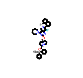 CCc1cccc2cccc(-c3ncc4c(N5CCCCCC5)nc(OC[C@@]56CCCN5[C@@H](CO[Si](c5ccccc5)(c5ccccc5)C(C)(C)C)CC6)nc4c3F)c12